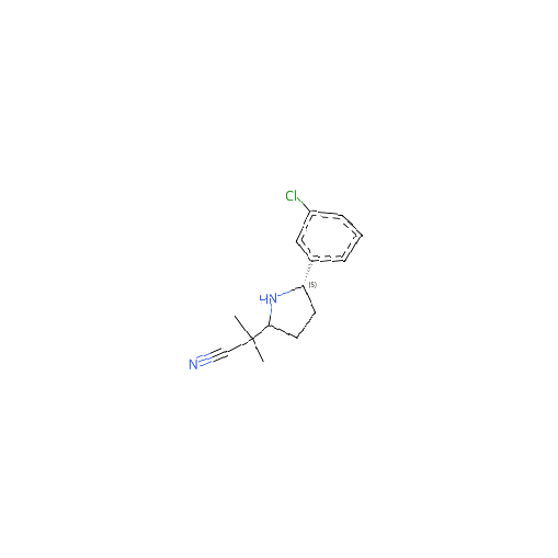 CC(C)(C#N)C1CC[C@@H](c2cccc(Cl)c2)N1